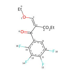 CCO/C=C(/C(=O)OCC)C(=O)c1cc(F)c(F)c(F)c1F